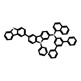 c1ccc(-c2cc(-c3ccccc3)cc(N(c3ccc4c5cc(-c6ccc7sc8ccccc8c7c6)ccc5n(-c5ccccc5)c4c3)c3cccc4ccccc34)c2)cc1